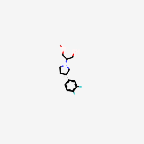 COCC(CO)N1CC[C@H](c2ccc(F)c(F)c2)C1